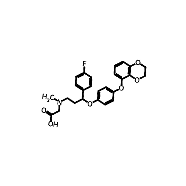 CN(CCC(Oc1ccc(Oc2cccc3c2OCCO3)cc1)c1ccc(F)cc1)CC(=O)O